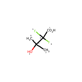 CC(C)(O)C(F)(F)C(=O)O